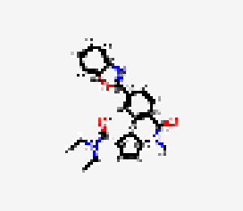 CCN(CC)C(=O)[C@H]1CC[C@@H](N(C)C(=O)c2ccc(-c3nc4ccccc4o3)cc2)C1